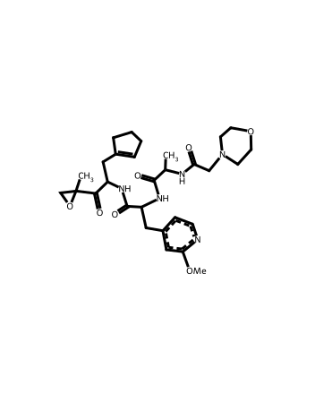 COc1cc(CC(NC(=O)C(C)NC(=O)CN2CCOCC2)C(=O)NC(CC2=CCCC2)C(=O)C2(C)CO2)ccn1